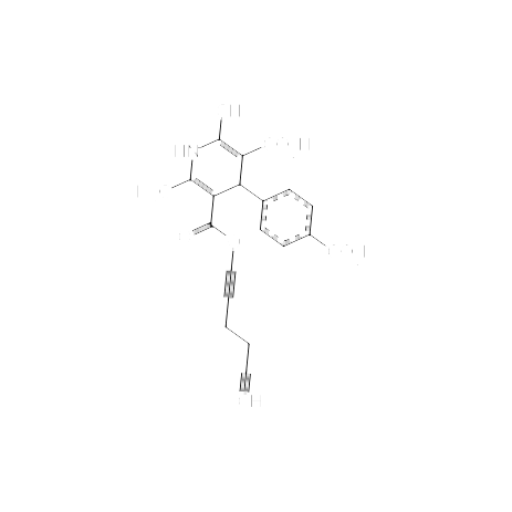 C#CCCC#COC(=O)C1=C(C)NC(C)=C(C(=O)O)C1c1ccc(C(=O)O)cc1